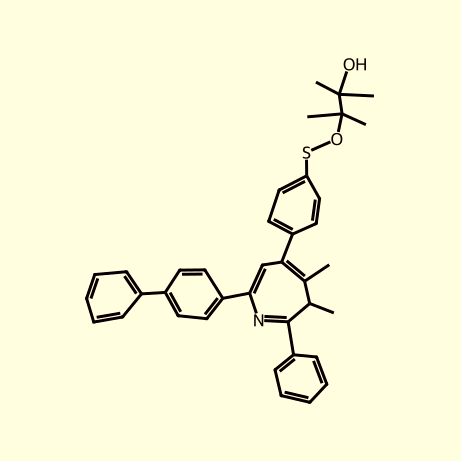 CC1=C(c2ccc(SOC(C)(C)C(C)(C)O)cc2)C=C(c2ccc(-c3ccccc3)cc2)N=C(c2ccccc2)C1C